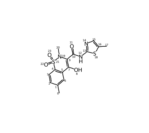 Cc1ccc2c(c1)C(O)=C(C(=O)Nc1ncc(C)s1)N(C)S2(=O)=O